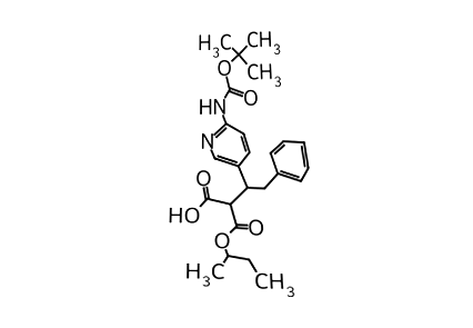 CCC(C)OC(=O)C(C(=O)O)C(Cc1ccccc1)c1ccc(NC(=O)OC(C)(C)C)nc1